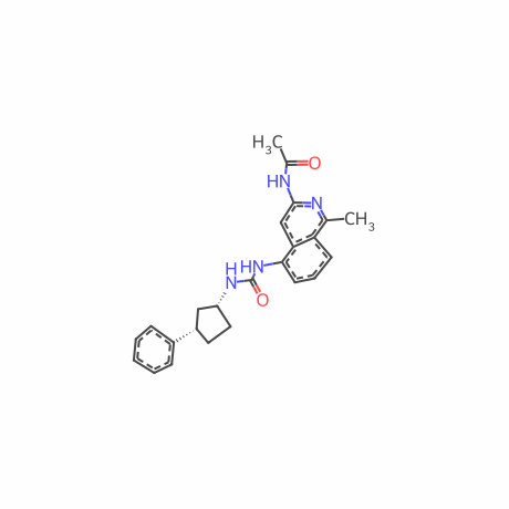 CC(=O)Nc1cc2c(NC(=O)N[C@@H]3CC[C@H](c4ccccc4)C3)cccc2c(C)n1